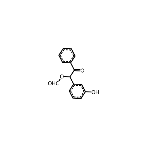 O=COC(C(=O)c1ccccc1)c1cccc(O)c1